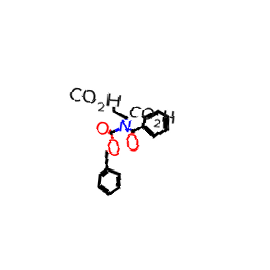 O=C(O)C[C@@H](C(=O)O)N(C(=O)OCc1ccccc1)C(=O)c1ccccc1